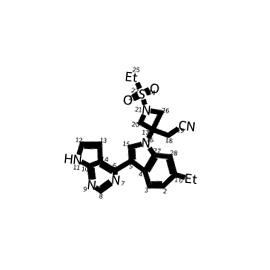 CCc1ccc2c(-c3ncnc4[nH]ccc34)cn(C3(CC#N)CN(S(=O)(=O)CC)C3)c2c1